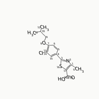 Cc1nc(-c2ccc(OCC(C)C)c(Cl)c2)sc1C(=O)O